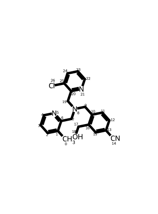 Cc1cccnc1CN(Cc1ccc(C#N)cc1CO)Cc1ncccc1Cl